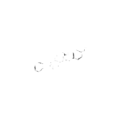 N[C@@H](Cc1ccccc1)[C@@H](O)CN(N)Cc1ccc(F)cc1